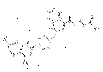 COc1ccc(Cl)cc1NC(=O)N1CCN(Cc2nc(NCCCN(C)C)c3ccccc3n2)CC1